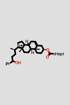 CCCCCCCC(=O)O[C@H]1CC[C@@]2(C)C(=CC[C@H]3[C@@H]4CC[C@H]([C@H](C)CCC(O)C(C)C)[C@@]4(C)CC[C@@H]32)C1